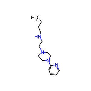 CCCCNCCN1CCN(c2ccccn2)CC1